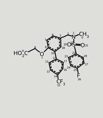 CN(Cc1ccc(OCC(=O)O)c(-c2ccc(C(F)(F)F)cc2)c1)S(=O)(=O)c1ccc(F)cc1